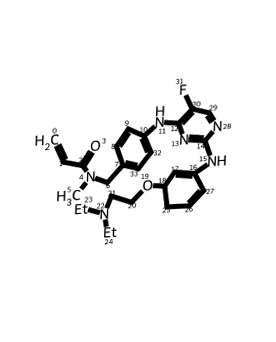 C=CC(=O)N(C)Cc1ccc(Nc2nc(NC3=CC(OCCN(CC)CC)CC=C3)ncc2F)cc1